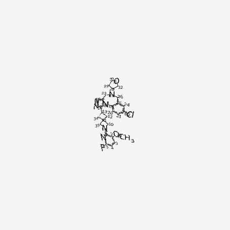 COc1ccc(F)nc1N1CC2(CC(c3nnc4n3-c3ccc(Cl)cc3CN([C@@H]3CCOC3)C4)C2)C1